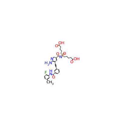 Cc1ccc(F)c(NC(=O)c2cccc(C#Cc3cc(C(=O)N=S(=O)(CCCCC(=O)O)CCCCC(=O)O)cnc3N)c2)c1